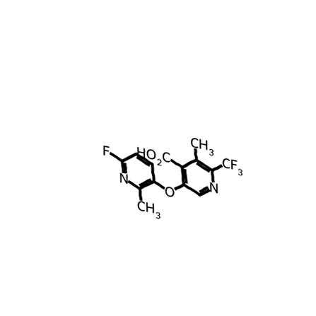 Cc1nc(F)ccc1Oc1cnc(C(F)(F)F)c(C)c1C(=O)O